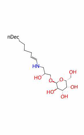 CCCCCCCCCCCCCCC=CNCC(O)CO[C@H]1O[C@H](CO)[C@H](O)[C@H](O)[C@H]1O